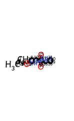 C[As](C)CCOc1ccc(C=c2[nH]c(=O)c(=Cc3ccccc3)[nH]c2=O)cc1